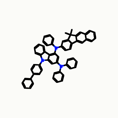 CC1(C)c2cc(N(c3ccccc3)c3cc(N(c4ccccc4)c4ccccc4)cc4c3c3ccccc3n4-c3ccc(-c4ccccc4)cc3)ccc2-c2cc3ccccc3cc21